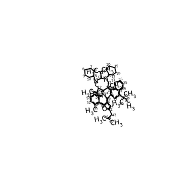 C=CC1CN(C2CCCCC2)C(C(C)C)N(C2CCCCC2)CC2(C)c3c(cc(C(C)(C)C)c4ccccc34)-c3c4cc(CC(C)C)oc4c4c(C)cccc4[n+]3C12C